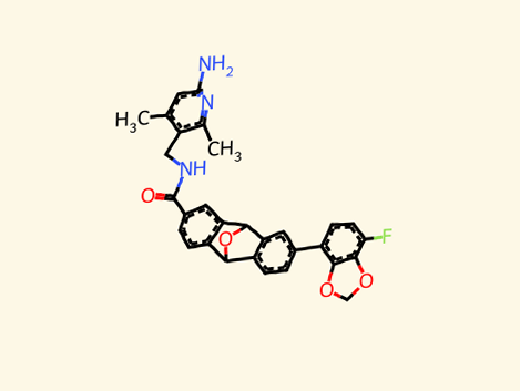 Cc1cc(N)nc(C)c1CNC(=O)c1ccc2c(c1)C1OC2c2ccc(-c3ccc(F)c4c3OCO4)cc21